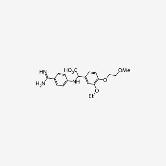 CCOc1cc(C(Nc2ccc(C(=N)N)cc2)C(=O)O)ccc1OCCOC